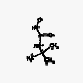 CC(C)(C)NC(=O)NCl